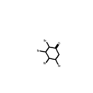 O=C1CC(Br)C(Br)C(Br)C1Br